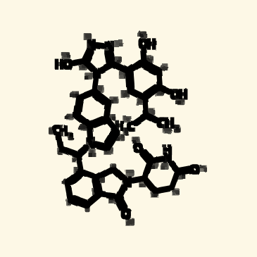 CCC(c1cccc2c1CN(C1CCC(=O)NC1=O)C2=O)n1ccc2cc(-n3c(O)nnc3-c3cc(C(C)C)c(O)cc3O)ccc21